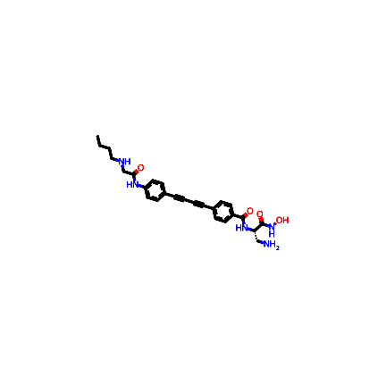 CCCCNCC(=O)Nc1ccc(C#CC#Cc2ccc(C(=O)N[C@@H](CN)C(=O)NO)cc2)cc1